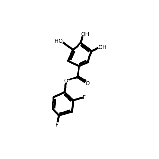 O=C(Oc1ccc(F)cc1F)c1cc(O)c(O)c(O)c1